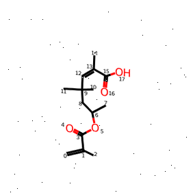 C=C(C)C(=O)OC(C)CC(C)(C)C=C(C)C(=O)O